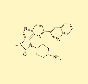 Cn1c(=O)n(C2CCC(N)CC2)c2c3nc(-c4cnc5ccccc5c4)ccc3ncc21